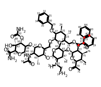 [3H]N(CP)C1[C@H](O[C@@H]2C(CO[C@@H]3OC(COCc4ccccc4)[C@@H](C)[C@H](C)C3OCc3ccccc3)O[C@@H](OC3[C@H](C)OC(C(N)=O)[C@@](C)(O)[C@@H]3OC(N)=O)C(NC(C)=O)[C@H]2C)OC(C)[C@@H](O[C@@H]2OC(C(C)=O)[C@H](C)[C@H](C)C2OC(=O)c2ccccc2)[C@@H]1C